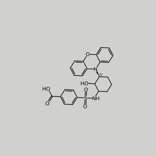 O=C(O)c1ccc(S(=O)(=O)NC2CCC[C@H](N3c4ccccc4Oc4ccccc43)C2O)cc1